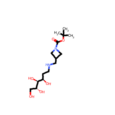 CC(C)(C)OC(=O)N1CC(CNCC[C@@H](O)[C@H](O)[C@H](O)CO)C1